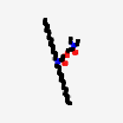 CCCCCCCCCCCCN(CCCCCCCCCCCC)C(=O)COCC(=O)N(CC)CC